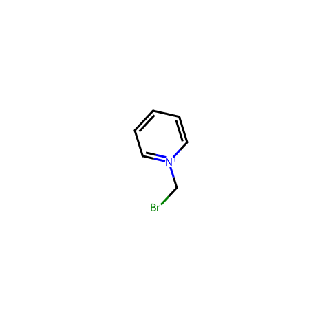 BrC[n+]1ccccc1